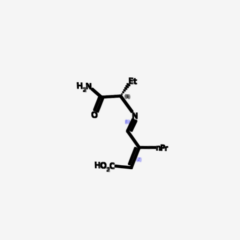 CCCC(=C/C(=O)O)/C=N/[C@@H](CC)C(N)=O